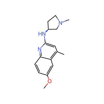 COc1ccc2nc(N[C@H]3CCN(C)C3)cc(C)c2c1